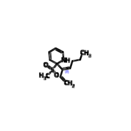 C=C/C(=C/CCC)C1(S(C)(=O)=O)C=CC=CN1